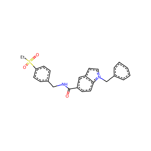 CCS(=O)(=O)c1ccc(CNC(=O)c2ccc3c(ccn3Cc3ccccc3)c2)cc1